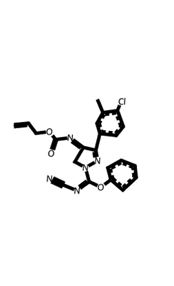 C=CCOC(=O)/N=C1\CN(/C(=N\C#N)Oc2ccccc2)N=C1c1ccc(Cl)c(C)c1